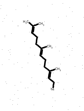 [2H]C/C=C(\C)CC/C=C(\C)CCC=C(C)C